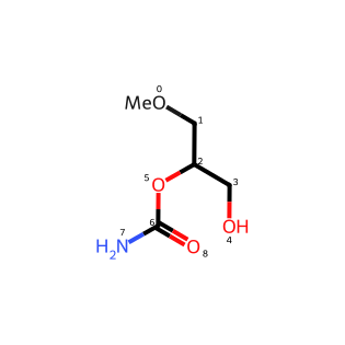 COCC(CO)OC(N)=O